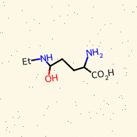 CCNC(O)CCC(N)C(=O)O